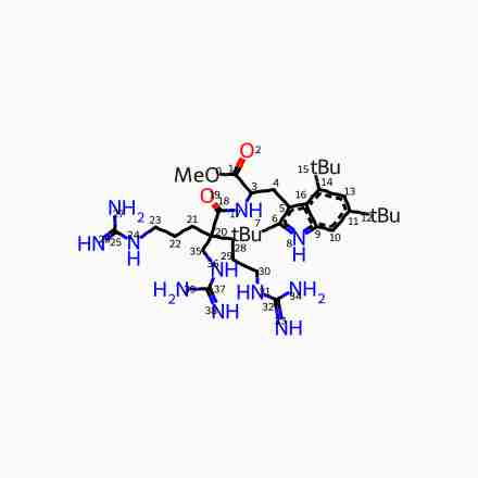 COC(=O)C(Cc1c(C(C)(C)C)[nH]c2cc(C(C)(C)C)cc(C(C)(C)C)c12)NC(=O)C(CCCNC(=N)N)(CCCNC(=N)N)CNC(=N)N